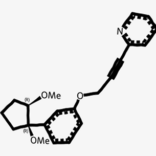 CO[C@@H]1CCC[C@@]1(OC)c1cccc(OCC#Cc2ccccn2)c1